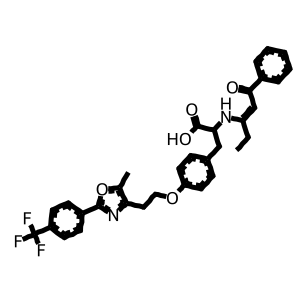 CC/C(=C/C(=O)c1ccccc1)NC(Cc1ccc(OCCc2nc(-c3ccc(C(F)(F)F)cc3)oc2C)cc1)C(=O)O